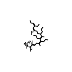 C=N/C=N\C(=C/C/C(C)=C(CCC)\C(CCC)=C(/C)C(CCC)CC/C(F)=C\C(=C/CC)CC)C(F)F